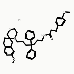 COc1ccc(CCC(=O)NCCCC(CCCN2CCOCC23CCc2ccc(OC)cc2C3)(c2ccccc2)c2ccccc2)cc1.Cl